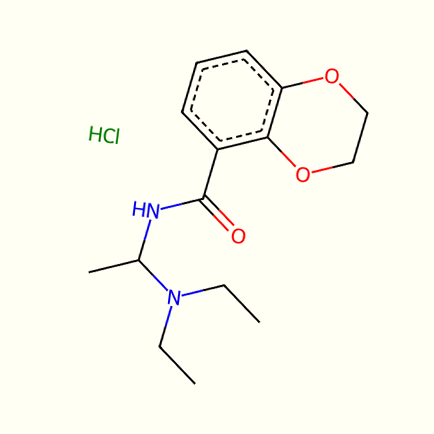 CCN(CC)C(C)NC(=O)c1cccc2c1OCCO2.Cl